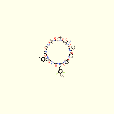 CC[C@H](C)[C@@H]1NC(=O)[C@H](CC(C)C)N(C)C(=O)C[C@@H](C(=O)N(C)C)N(C)C(=O)[C@H](C2CCCC2)N(C)C(=O)C2(CCCC2)NC(=O)[C@@H]2CCCN2C(=O)[C@H](CCc2cc(F)c(C(F)(F)F)c(F)c2)NC(=O)CN(C)C(=O)[C@H](Cc2ccc(C)cc2)N(CC)C(=O)C2CCN2C(=O)C(C)N(C)C1=O